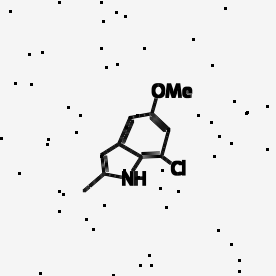 COc1cc(Cl)c2[nH]c(C)cc2c1